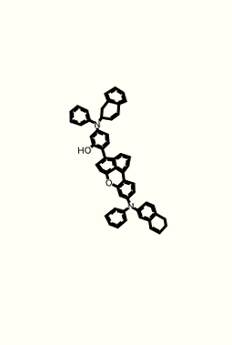 Oc1cc(N(c2ccccc2)C2C=Cc3ccccc3C2)ccc1-c1ccc2c3c(cccc13)-c1ccc(N(c3ccccc3)c3ccc4c(c3)C=CCC4)cc1O2